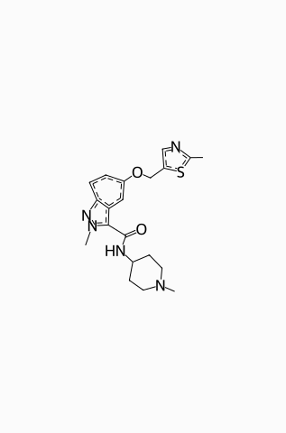 Cc1ncc(COc2ccc3nn(C)c(C(=O)NC4CCN(C)CC4)c3c2)s1